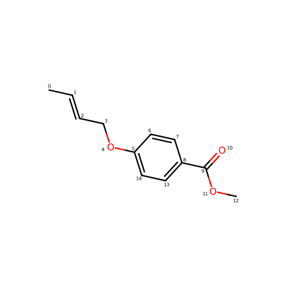 C/C=C/COc1ccc(C(=O)OC)cc1